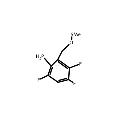 CSOCc1c(F)c(F)cc(F)c1P